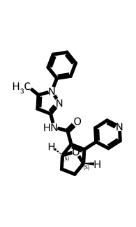 Cc1cc(NC(=O)C2=C(c3ccncc3)[C@@H]3CC[C@@H]2O3)nn1-c1ccccc1